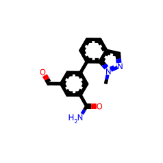 Cn1ncc2cccc(-c3cc(C=O)cc(C(N)=O)c3)c21